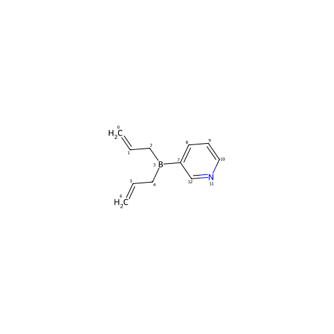 C=CCB(CC=C)c1cccnc1